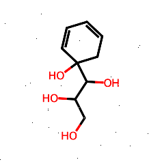 OCC(O)C(O)C1(O)C=CC=CC1